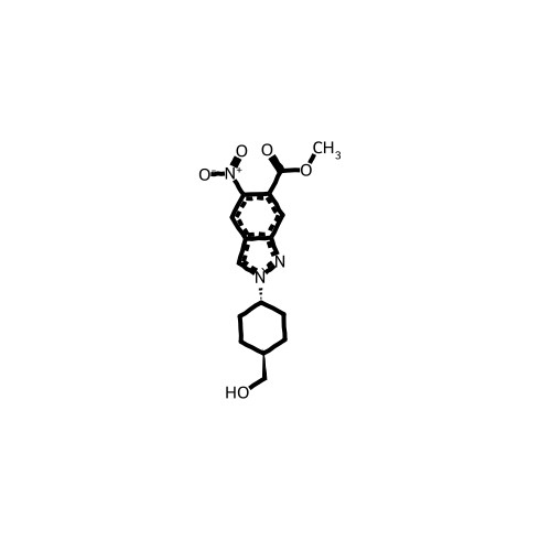 COC(=O)c1cc2nn([C@H]3CC[C@H](CO)CC3)cc2cc1[N+](=O)[O-]